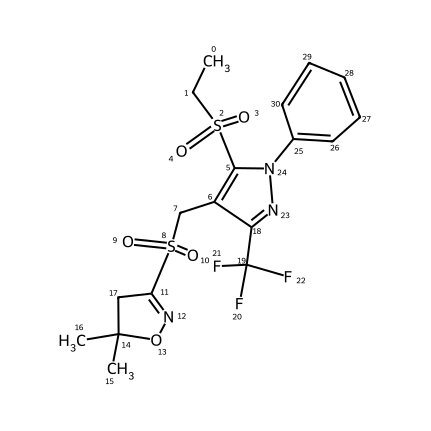 CCS(=O)(=O)c1c(CS(=O)(=O)C2=NOC(C)(C)C2)c(C(F)(F)F)nn1-c1ccccc1